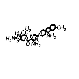 Cc1ccc2c(c1)C(N)C1(CCN(c3cnc(C(=O)N4Cc5sc(N)nc5C(C)(C)C4)c(N)n3)CC1)C2